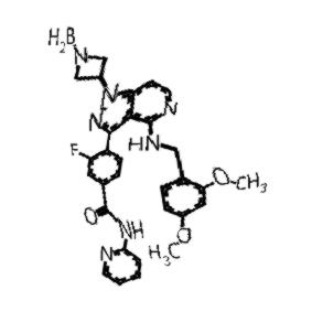 BN1CC(n2nc(-c3ccc(C(=O)Nc4ccccn4)cc3F)c3c(NCc4ccc(OC)cc4OC)nccc32)C1